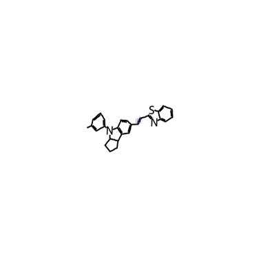 Cc1cccc(N2c3ccc(/C=C/c4nc5ccccc5s4)cc3C3CCCC32)c1